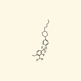 CCCCCC1CCC(c2ccc(OC(F)(F)c3ccc(CC)c(C(F)F)c3F)cc2)CC1